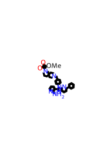 COc1c(N2CCCC3(CCN(Cc4ccc(-n5c(-c6cccnc6N)nc6ccc(-c7ccccc7)nc65)cc4)CC3)C2)c(=O)c1=O